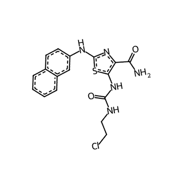 NC(=O)c1nc(Nc2ccc3ccccc3c2)sc1NC(=O)NCCCl